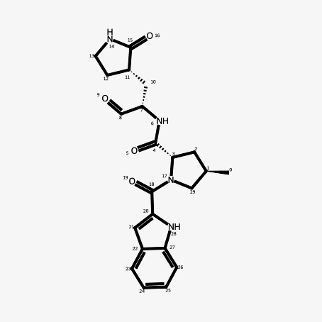 C[C@@H]1C[C@@H](C(=O)N[C@H](C=O)C[C@@H]2CCNC2=O)N(C(=O)c2cc3ccccc3[nH]2)C1